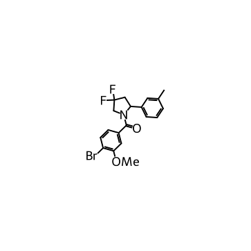 COc1cc(C(=O)N2CC(F)(F)CC2c2cccc(C)c2)ccc1Br